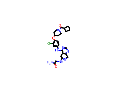 NC(=O)CNc1cc2c(Nc3ccc(OC4CCN(C(=O)C5CCCC5)CC4)c(Cl)c3)ncnc2cn1